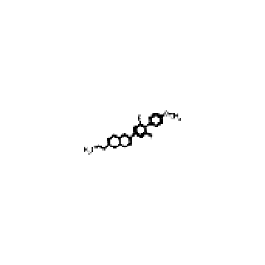 CCCC1CCC2CC(c3cc(F)c(-c4ccc(OC)cc4)c(F)c3)CCC2C1